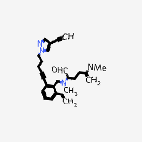 C#Cc1cnn(CCCC#Cc2cccc(C=C)c2CN(C)C(C=O)CCC(=C)NC)c1